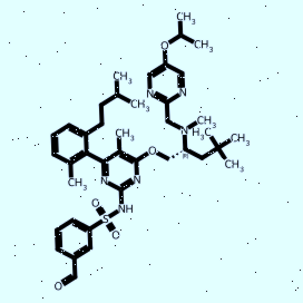 Cc1cccc(CCC(C)C)c1-c1nc(NS(=O)(=O)c2cccc(C=O)c2)nc(OC[C@@H](CC(C)(C)C)N(C)Cc2ncc(OC(C)C)cn2)c1C